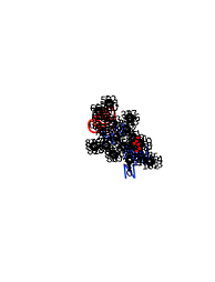 N#Cc1ccc(-n2c3ccccc3c3cc(-c4cc5c6c(c4)N(c4cc(-c7ccccc7)cc(-c7ccccc7)c4)c4ccc(C(=O)OCc7ccccc7)cc4B6c4cc(C(=O)OCc6ccccc6)ccc4N5c4cc(-c5ccccc5)cc(-c5ccccc5)c4)ccc32)c(-c2nc(-c3ccccc3)nc(-c3ccccc3)n2)c1